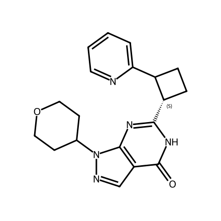 O=c1[nH]c([C@H]2CCC2c2ccccn2)nc2c1cnn2C1CCOCC1